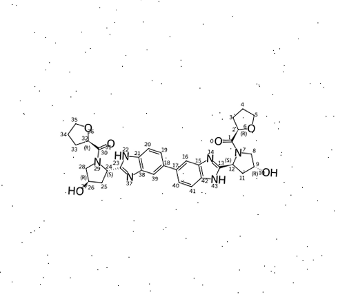 O=C([C@H]1CCCO1)N1C[C@H](O)C[C@H]1c1nc2cc(-c3ccc4[nH]c([C@@H]5C[C@@H](O)CN5C(=O)[C@H]5CCCO5)nc4c3)ccc2[nH]1